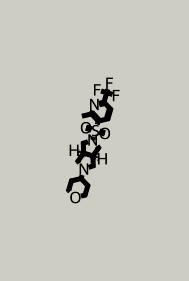 Cc1nc(C(F)(F)F)ccc1S(=O)(=O)N1C[C@H]2CN(C3CCOCC3)C[C@H]2C1